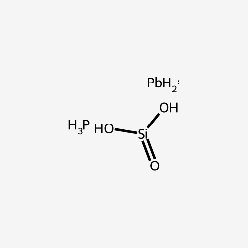 O=[Si](O)O.P.[PbH2]